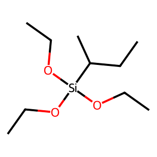 CCO[Si](OCC)(OCC)C(C)CC